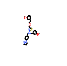 COc1cccc(CCOCc2csc(N(Cc3ccc(-n4cccn4)cc3)Cc3cccc(OC)c3)n2)c1